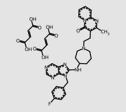 Cc1nc2ccccn2c(=O)c1CCN1CCCC(Nc2nc3cncnc3n2Cc2ccc(F)cc2)CC1.O=C(O)C=CC(=O)O.O=C(O)C=CC(=O)O